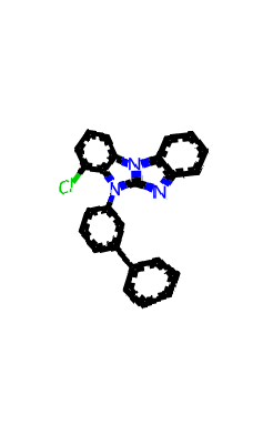 Clc1cccc2c1n(-c1cccc(-c3ccccc3)c1)c1nc3ccccc3n21